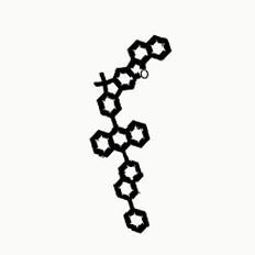 CC1(C)c2ccc(-c3c4ccccc4c(-c4ccc5cc(-c6ccccc6)ccc5c4)c4ccccc34)cc2-c2cc3oc4c5ccccc5ccc4c3cc21